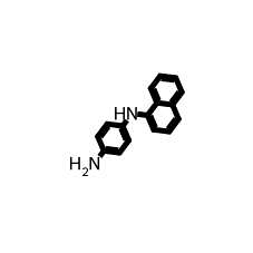 Nc1ccc(Nc2cccc3ccccc23)cc1